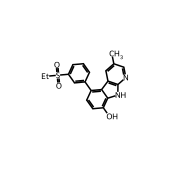 CCS(=O)(=O)c1cccc(-c2ccc(O)c3[nH]c4ncc(C)cc4c23)c1